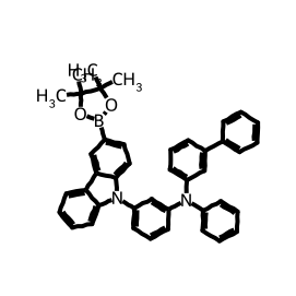 CC1(C)OB(c2ccc3c(c2)c2ccccc2n3-c2cccc(N(c3ccccc3)c3cccc(-c4ccccc4)c3)c2)OC1(C)C